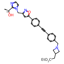 CCOC(=O)CC1CN(Cc2ccc(C#Cc3ccc(-c4cc(Cn5ccnc5[C@H](C)O)no4)cc3)cc2)C1